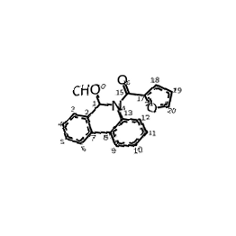 O=CC1c2ccccc2-c2ccccc2N1C(=O)c1ccco1